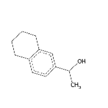 CC(O)c1ccc2c(c1)CCCC2